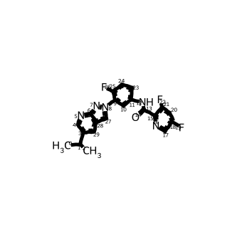 CC(C)c1cnc2nn(-c3cc(NC(=O)c4ncc(F)cc4F)ccc3F)cc2c1